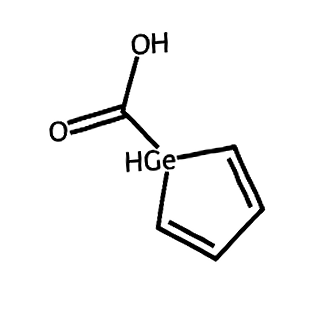 O=[C](O)[GeH]1[CH]=CC=[CH]1